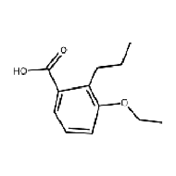 CCCc1c(OCC)cccc1C(=O)O